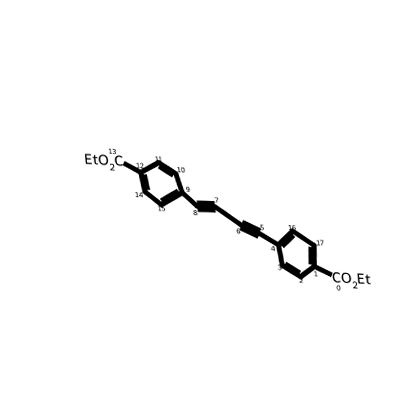 CCOC(=O)c1ccc(C#CC#Cc2ccc(C(=O)OCC)cc2)cc1